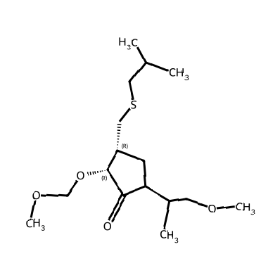 COCO[C@H]1C(=O)C(C(C)COC)C[C@H]1CSCC(C)C